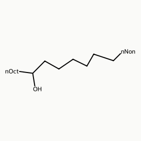 CCCCCCCCCCCCCCCC(O)CCCCCCCC